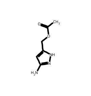 CC(=O)OCc1cc(N)n[nH]1